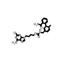 CC1C=CC(CNC(=O)OCCCCN2C=NC3C(N)=NC(Cl)=NC32)=CC1c1ccccc1C(N)=O